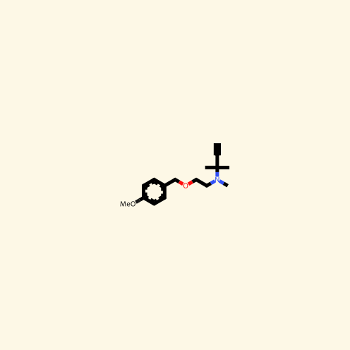 C#CC(C)(C)N(C)CCOCc1ccc(OC)cc1